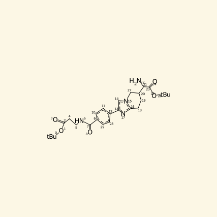 CC(C)(C)OC(=O)CCNC(=O)c1ccc(-c2cn3c(n2)CCC(C(N)C(=O)OC(C)(C)C)C3)cc1